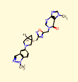 Cn1cnc2ncn(Cc3nc(C[C@@]45C[C@H]4CN(c4ccc6c(cnn6C)c4)C5)no3)c(=O)c21